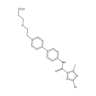 CCc1nc(C)c(C(=O)Nc2ccc(-c3ccc(CCOCCC(=O)O)cc3)cc2)o1